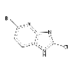 Clc1nc2nc(Br)ccc2[nH]1